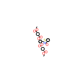 CCOC(=O)C1CCC(C(=O)Oc2ccc(OC(=O)[C@H]3CC[C@H](C(=O)OCC)CC3)c(-c3nc(=O)c4ccccc4s3)c2)CC1